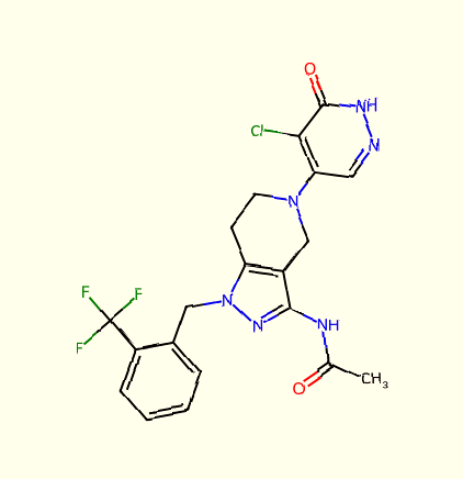 CC(=O)Nc1nn(Cc2ccccc2C(F)(F)F)c2c1CN(c1cn[nH]c(=O)c1Cl)CC2